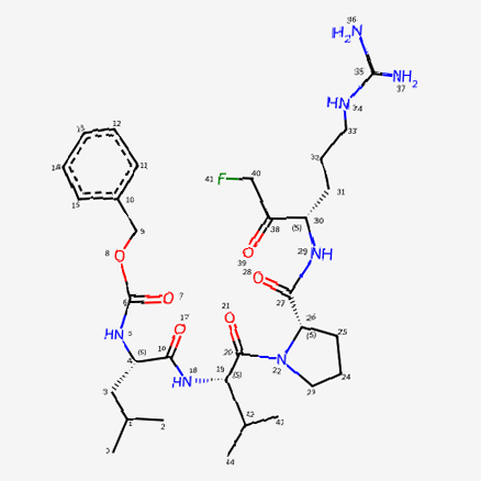 CC(C)C[C@H](NC(=O)OCc1ccccc1)C(=O)N[C@H](C(=O)N1CCC[C@H]1C(=O)N[C@@H](CCCNC(N)N)C(=O)CF)C(C)C